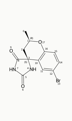 C[C@@H]1C[C@]2(NC(=O)NC2=O)c2cc(Br)ccc2O1